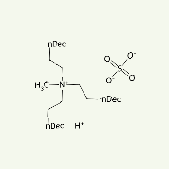 CCCCCCCCCCCC[N+](C)(CCCCCCCCCCCC)CCCCCCCCCCCC.O=S(=O)([O-])[O-].[H+]